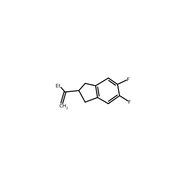 C=C(CC)C1Cc2cc(F)c(F)cc2C1